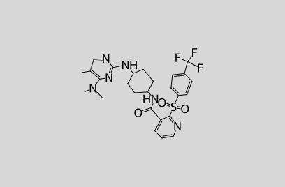 Cc1cnc(NC2CCC(NC(=O)c3cccnc3S(=O)(=O)c3ccc(C(F)(F)F)cc3)CC2)nc1N(C)C